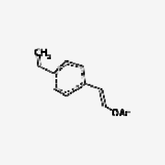 C=Cc1ccc(C=COC(C)=O)cc1